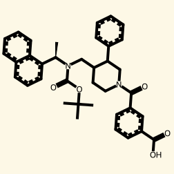 C[C@H](c1cccc2ccccc12)N(CC1CCN(C(=O)c2cccc(C(=O)O)c2)CC1c1ccccc1)C(=O)OC(C)(C)C